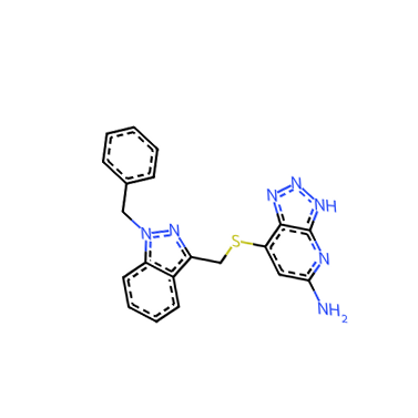 Nc1cc(SCc2nn(Cc3ccccc3)c3ccccc23)c2nn[nH]c2n1